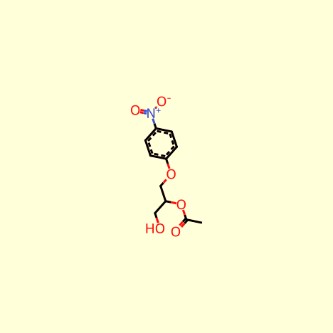 CC(=O)OC(CO)COc1ccc([N+](=O)[O-])cc1